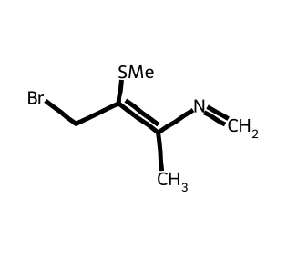 C=N/C(C)=C(/CBr)SC